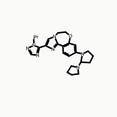 CC(C)n1ncnc1-c1cn2c(n1)-c1ccc(N3CCCC3N3CCCC3)cc1OCC2